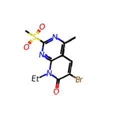 CCn1c(=O)c(Br)cc2c(C)nc(S(C)(=O)=O)nc21